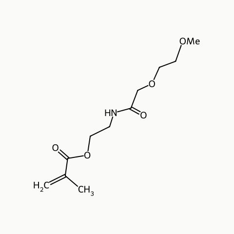 C=C(C)C(=O)OCCNC(=O)COCCOC